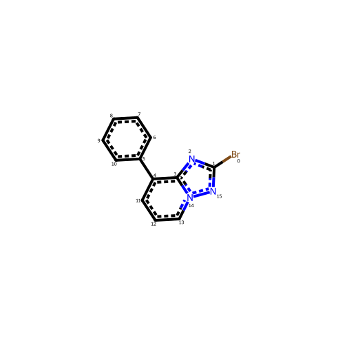 Brc1nc2c(-c3ccccc3)cccn2n1